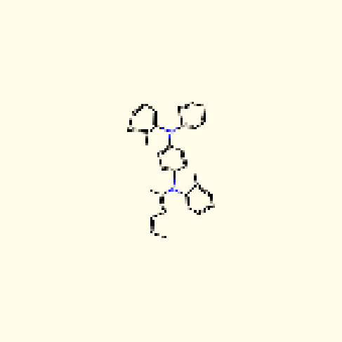 C/C=C\C=C(/C)N(c1ccc(N(c2ccccc2)c2ccccc2C)cc1)c1ccccc1C